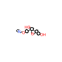 Oc1ccc2c3c(ccc2c1)-c1ccc(O)c(-c2ccc(OCCN4CCCC4)cc2)c1COC3